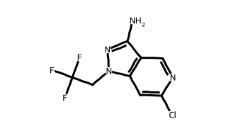 Nc1nn(CC(F)(F)F)c2cc(Cl)ncc12